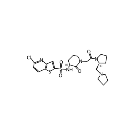 O=C1[C@@H](NS(=O)(=O)c2cc3nc(Cl)ccc3s2)CCCN1CC(=O)N1CCC[C@H]1CN1CCCC1